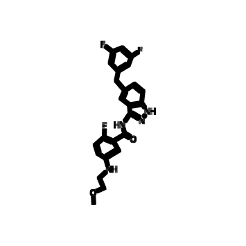 COCCNc1ccc(F)c(C(=O)Nc2n[nH]c3ccc(Cc4cc(F)cc(F)c4)cc23)c1